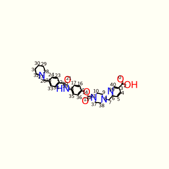 O=C(O)c1ccc(CN2CCN(C(=O)Oc3ccc(NC(=O)c4ccc(CN5CCCCC5)cc4)cc3)CC2)nc1